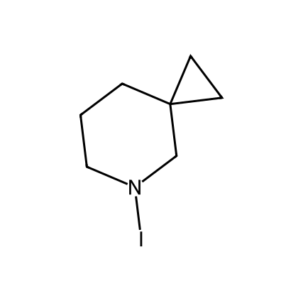 IN1CCCC2(CC2)C1